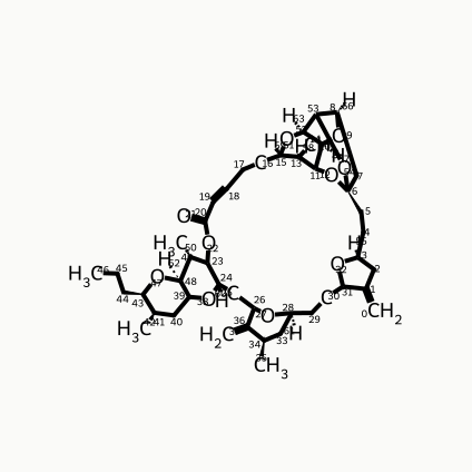 C=C1C[C@@H]2CC[C@@]34C[C@H]5O[C@H]6C(O3)[C@@H](C)[C@H](CC/C=C/C(=O)OC3[C@H](CC7O[C@@H](CCC1O2)C[C@@H](C)C7=C)OC1C[C@@H](C)[C@@H](CCC)O[C@H]1[C@@H]3C)O[C@H]6C5O4